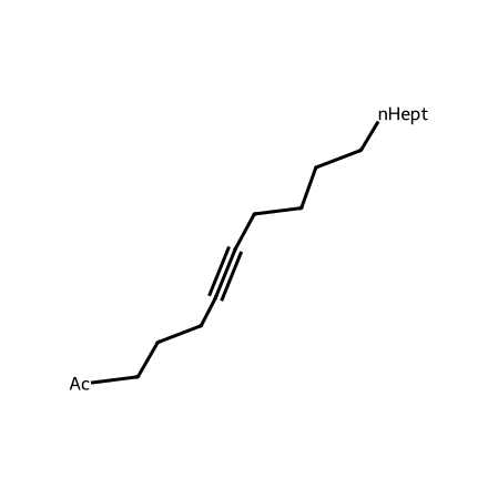 CCCCCCCCCCCC#CCCCC(C)=O